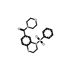 O=C(c1ccc2c(c1)N(S(=O)(=O)c1ccccc1)CCS2)N1CCOCC1